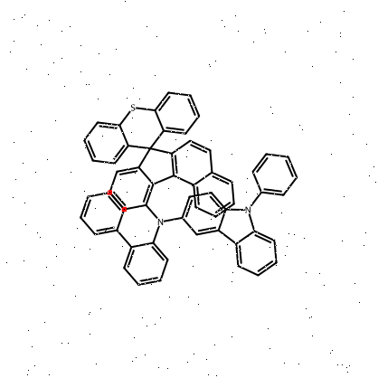 c1ccc(-c2ccccc2N(c2ccc3c(c2)c2ccccc2n3-c2ccccc2)c2cccc3c2-c2c(ccc4ccccc24)C32c3ccccc3Sc3ccccc32)cc1